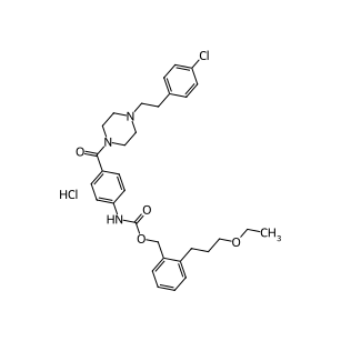 CCOCCCc1ccccc1COC(=O)Nc1ccc(C(=O)N2CCN(CCc3ccc(Cl)cc3)CC2)cc1.Cl